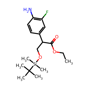 CCOC(=O)C(CO[Si](C)(C)C(C)(C)C)c1ccc(N)c(F)c1